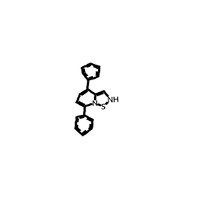 C1=C(c2ccccc2)C2=CNSN2C(c2ccccc2)=C1